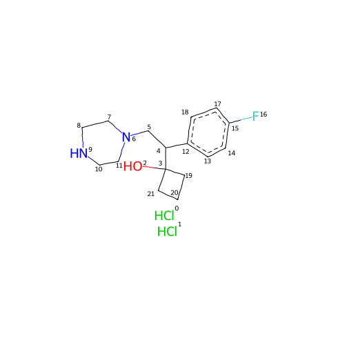 Cl.Cl.OC1(C(CN2CCNCC2)c2ccc(F)cc2)CCC1